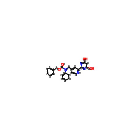 O=C(OCc1ccccc1)N(Cc1ccnc(-c2nc(O)cc(O)n2)c1)c1ccccc1